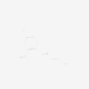 O=Cc1ccc(OC(=O)CCCCl)c([N+](=O)[O-])c1